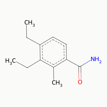 CCc1ccc(C(N)=O)c(C)c1CC